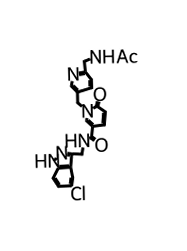 CC(=O)NCc1ccc(Cn2cc(C(=O)NCc3n[nH]c4ccc(Cl)cc34)ccc2=O)cn1